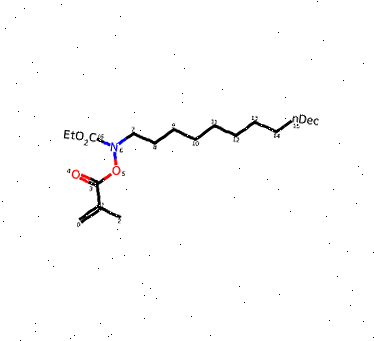 C=C(C)C(=O)ON(CCCCCCCCCCCCCCCCCC)C(=O)OCC